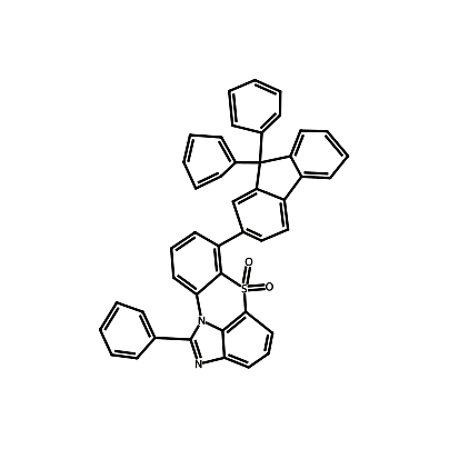 O=S1(=O)c2c(-c3ccc4c(c3)C(c3ccccc3)(c3ccccc3)c3ccccc3-4)cccc2-n2c(-c3ccccc3)nc3cccc1c32